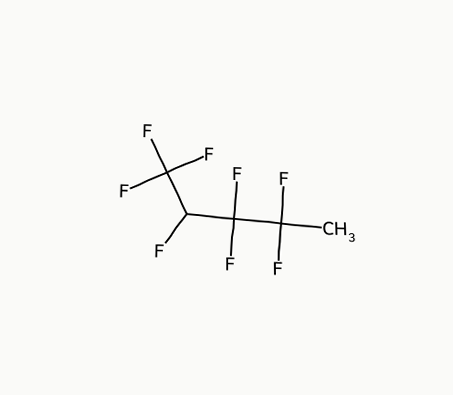 CC(F)(F)C(F)(F)C(F)C(F)(F)F